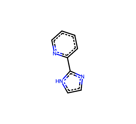 c1ccc(-c2ncc[nH]2)nc1